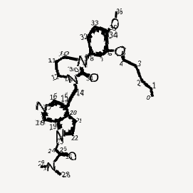 CCCCCOc1cc(N2CCCN(Cc3cncc4c3ccn4CC(=O)N(C)C)C2=O)ccc1OC